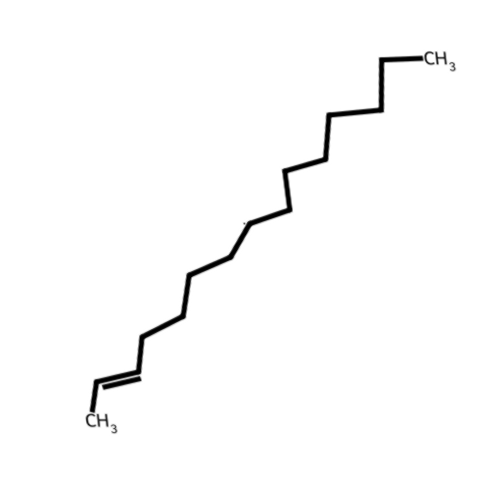 CC=CCCCC[CH]CCCCCCC